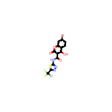 O=C(Nc1nnc(C(F)(F)Cl)s1)c1c(O)c2ccc(Br)cc2oc1=O